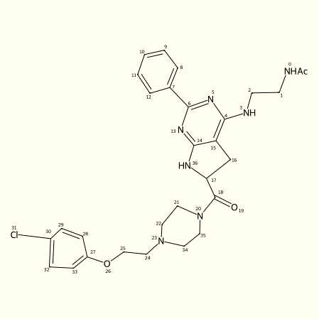 CC(=O)NCCNc1nc(-c2ccccc2)nc2c1CC(C(=O)N1CCN(CCOc3ccc(Cl)cc3)CC1)N2